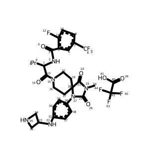 CC(C)C(NC(=O)c1cc(C(F)(F)F)ccc1F)C(=O)N1CCC2(CC1)C(=O)N(C)C(=O)N2c1ccc(NC2CNC2)cc1.O=C(O)C(F)(F)F